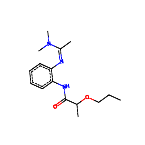 CCCOC(C)C(=O)Nc1ccccc1N=C(C)N(C)C